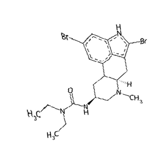 CCN(CC)C(=O)N[C@H]1CC2c3cc(Br)cc4[nH]c(Br)c(c34)C[C@H]2N(C)C1